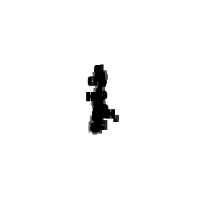 NN(c1nc(-c2ccccc2Cl)cs1)S(=O)(=O)c1ccc(NC(=O)CCCOc2ccc(Cl)cc2Cl)cc1